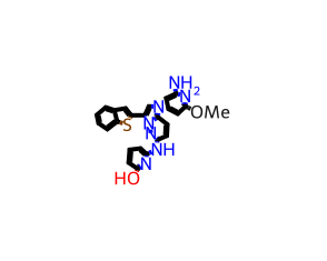 COc1cccc(N)n1.Oc1cccc(Nc2ccc3ncc(-c4cc5ccccc5s4)n3n2)n1